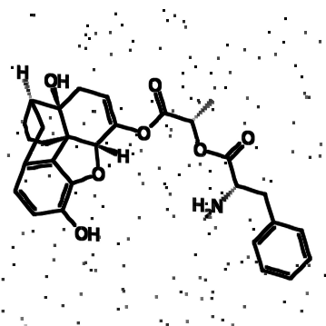 C[C@H](OC(=O)[C@@H](N)Cc1ccccc1)C(=O)OC1=CC[C@@]2(O)[C@@H]3CCC[C@@]24c2c(ccc(O)c2O[C@@H]14)C3